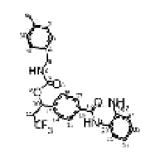 Cc1ccc(CNC(=O)O[C@H](CC(F)(F)F)c2ccc(C(=O)Nc3ccccc3N)cc2)cc1